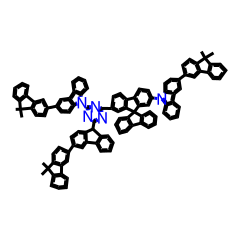 CC1(C)c2ccccc2-c2cc(-c3ccc4c(c3)-c3ccccc3C4c3nc(-c4ccc5c(c4)C4(c6ccccc6-c6ccccc64)c4cc(-n6c7ccccc7c7cc(-c8ccc9c(c8)-c8ccccc8C9(C)C)ccc76)ccc4-5)nc(-n4c5ccccc5c5cc(-c6ccc7c(c6)-c6ccccc6C7(C)C)ccc54)n3)ccc21